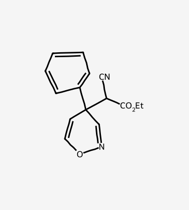 CCOC(=O)C(C#N)C1(c2ccccc2)C=CON=C1